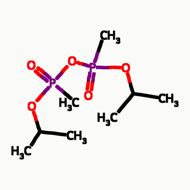 CC(C)OP(C)(=O)OP(C)(=O)OC(C)C